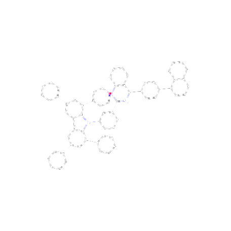 c1ccc(-c2cc(-c3ccccc3)c3c(c2)c2cc(-c4ccccc4)cc(-c4ccccc4)c2n3-c2cccc(-c3nc(-c4ccc(-c5cccc6ccccc56)cc4)c4ccccc4n3)c2)cc1